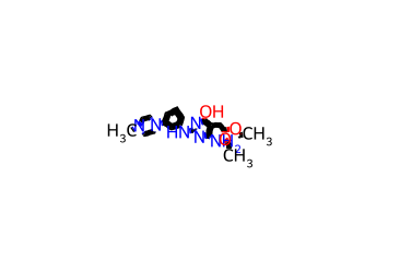 CCOC(Cc1c(N)nc(Nc2cccc(N3CCN(C)CC3)c2)nc1O)OCC